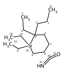 CCCC1(CC)CCCC[Si]1(CC)CC.N=C=O